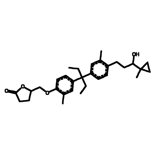 CCC(CC)(c1ccc(CCC(O)C2(C)CC2)c(C)c1)c1ccc(OCC2CCC(=O)O2)c(C)c1